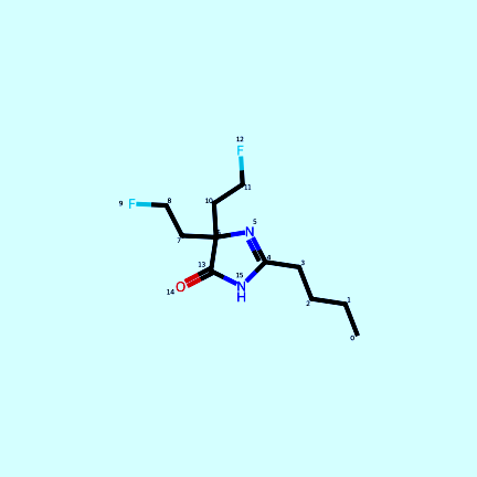 CCCCC1=NC(CCF)(CCF)C(=O)N1